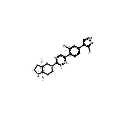 Oc1cc(-c2c[nH]nc2F)ccc1-c1cnc(N2CC[C@H]3NCC[C@H]3C2)nn1